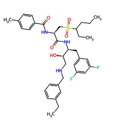 CCCC(CC)S(=O)(=O)C[C@H](NC(=O)c1ccc(C)cc1)C(=O)N[C@@H](Cc1cc(F)cc(F)c1)[C@H](O)CNCc1cccc(CC)c1